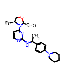 CC(Nc1nccc(N2C(C=O)OC[C@@H]2C(C)C)n1)c1ccc(N2CCCCC2)cc1